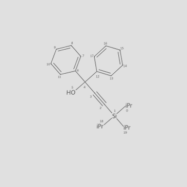 CC(C)[Si](C#CC(O)(c1ccccc1)c1ccccc1)(C(C)C)C(C)C